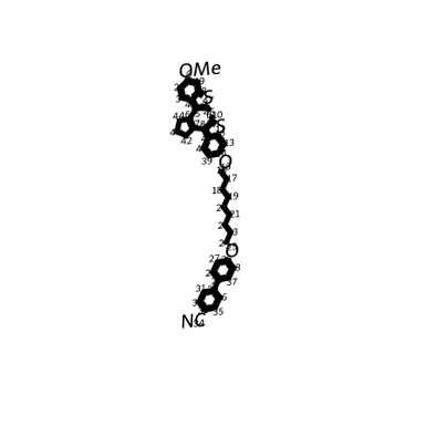 COc1ccc2c(C3=C(c4c(C)sc5cc(OCCCCCCCCCOc6ccc(-c7ccc(C#N)cc7)cc6)ccc45)CCC3)c(C)sc2c1